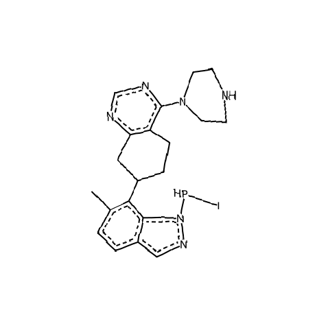 Cc1ccc2cnn(PI)c2c1C1CCc2c(ncnc2N2CCNCC2)C1